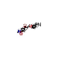 CN(C)C(=O)c1ccc(C(=O)CCCOc2cccc(C#N)c2)cc1